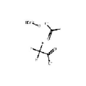 CC(=O)[O-].O=C([O-])C(F)(F)F.[Cl][SnH+2]